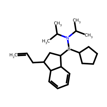 C=CCC1CC(B(C2CCCC2)N(C(C)C)C(C)C)C2C=CC=CC12